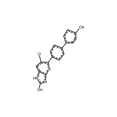 N#Cc1ccc(-c2ccc(-c3nc4nc(O)[nH]c4cc3Cl)cc2)cc1